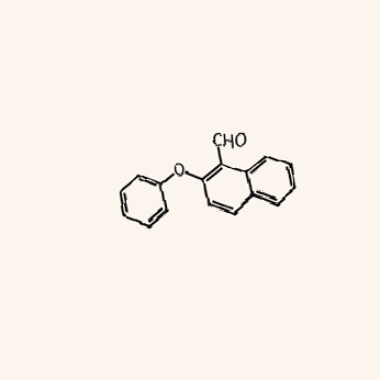 O=Cc1c(Oc2ccccc2)ccc2ccccc12